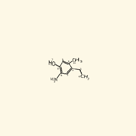 CCc1cc(N)c(O)cc1C